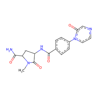 CN1C(=O)C(NC(=O)c2ccc(-n3ccncc3=O)cc2)[CH]C1C(N)=O